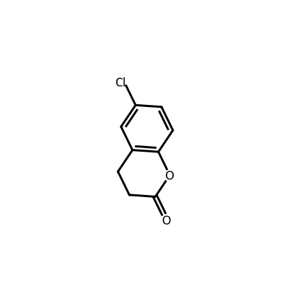 O=C1CCc2cc(Cl)ccc2O1